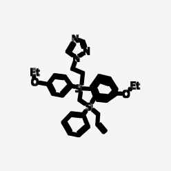 C=CC[Si](C[Si](CCn1cncn1)(c1ccc(OCC)cc1)c1ccc(OCC)cc1)(c1ccccc1)c1ccccc1